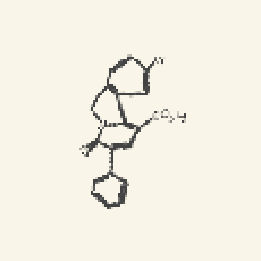 O=C(O)c1cc(-c2ccccc2)c(=O)n2c1-c1cc(Cl)ccc1CC2